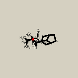 CC(C)OC(=O)C1CC2CCC(C1)C2N[S+]([O-])C(C)(C)C